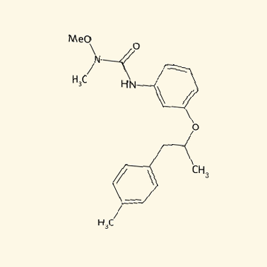 CON(C)C(=O)Nc1cccc(OC(C)Cc2ccc(C)cc2)c1